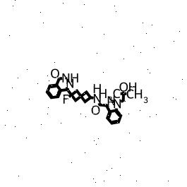 CC(C)(O)Cn1nc(C(=O)NC2CC3(C2)CC(F)(c2n[nH]c(=O)c4ccccc24)C3)c2ccccc21